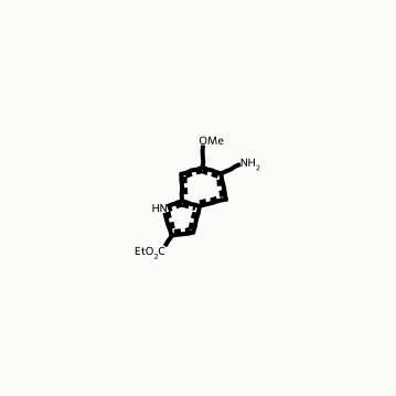 CCOC(=O)c1cc2cc(N)c(OC)cc2[nH]1